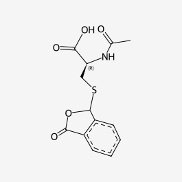 CC(=O)N[C@@H](CSC1OC(=O)c2ccccc21)C(=O)O